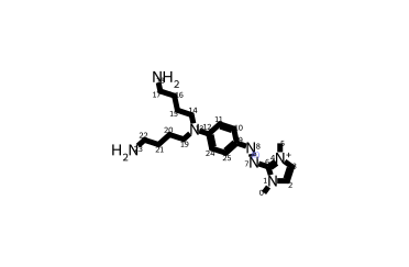 Cn1cc[n+](C)c1/N=N/c1ccc(N(CCCCN)CCCCN)cc1